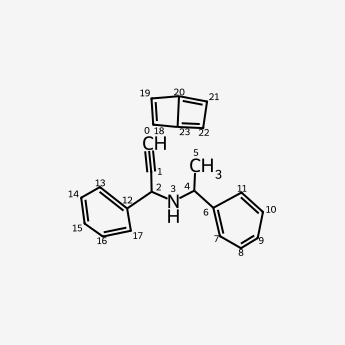 C#CC(NC(C)c1ccccc1)c1ccccc1.c1cc2ccc1-2